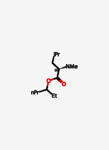 CCCC(CC)OC(=O)[C@H](CC(C)C)NC